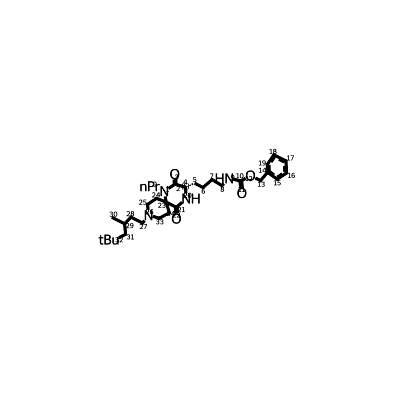 CCCN1C(=O)[C@H](CCCCNC(=O)OCc2ccccc2)NC(=O)C12CCN(CCC(C)CC(C)(C)C)CC2